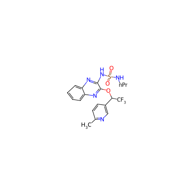 CCCNS(=O)(=O)Nc1nc2ccccc2nc1OC(c1ccc(C)nc1)C(F)(F)F